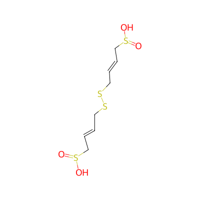 O=S(O)CC=CCSSCC=CCS(=O)O